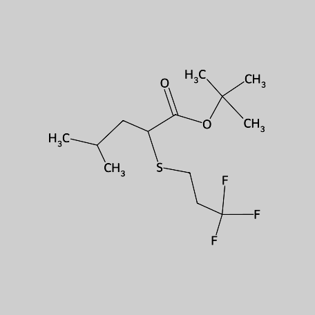 CC(C)CC(SCCC(F)(F)F)C(=O)OC(C)(C)C